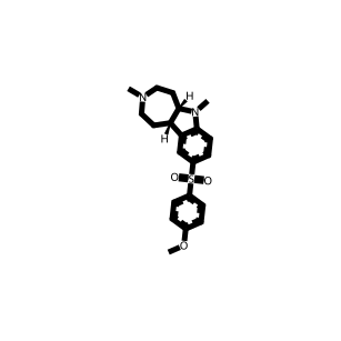 COc1ccc(S(=O)(=O)c2ccc3c(c2)[C@@H]2CCN(C)CC[C@@H]2N3C)cc1